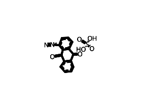 N#[N+]c1cccc2c1C(=O)c1ccccc1C2=O.O=S(=O)(O)O